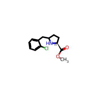 COC(=O)[C@@H]1CCC(Cc2ccccc2Cl)N1